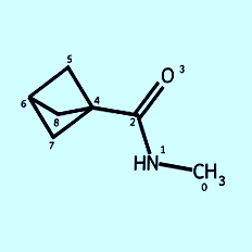 CNC(=O)C12CC(C1)C2